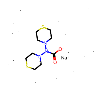 O=C([O-])N(N1CCSCC1)N1CCSCC1.[Na+]